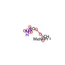 CNC(=O)C1(C(C)C)CC(COCCCCOc2ccc3c(c2)C(=O)N(C2CCC(=O)NC2=O)C3=O)C1C